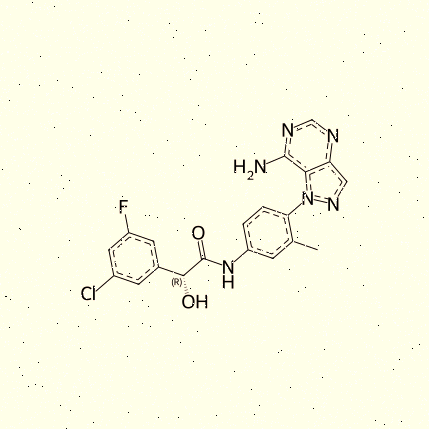 Cc1cc(NC(=O)[C@H](O)c2cc(F)cc(Cl)c2)ccc1-n1ncc2ncnc(N)c21